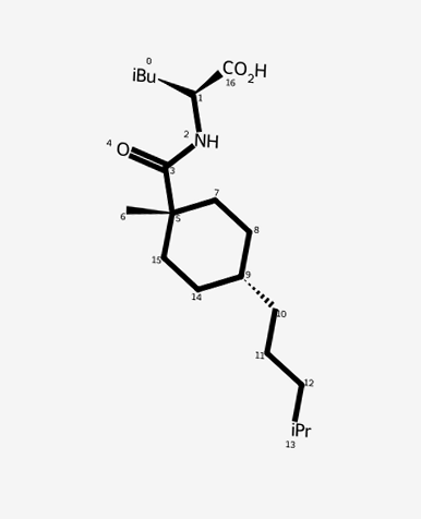 CC[C@H](C)[C@H](NC(=O)[C@]1(C)CC[C@H](CCCC(C)C)CC1)C(=O)O